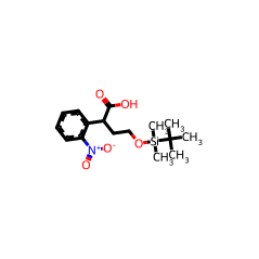 CC(C)(C)[Si](C)(C)OCCC(C(=O)O)c1ccccc1[N+](=O)[O-]